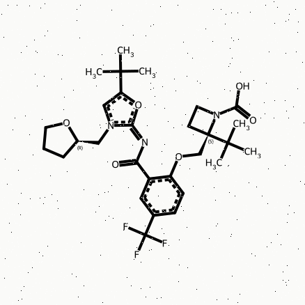 CC(C)(C)c1cn(C[C@H]2CCCO2)c(=NC(=O)c2cc(C(F)(F)F)ccc2OC[C@@]2(C(C)(C)C)CCN2C(=O)O)o1